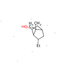 CCC1CC2CC(O)C1C2(C)C